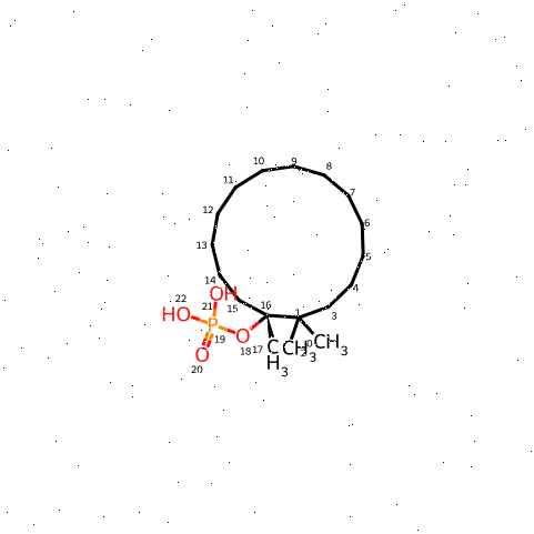 CC1(C)CCCCCCCCCCCCC[C@@]1(C)OP(=O)(O)O